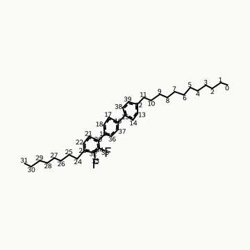 CCCCCCCCCCCCc1ccc(-c2ccc(-c3ccc(CCCCCCCC)c(F)c3F)cc2)cc1